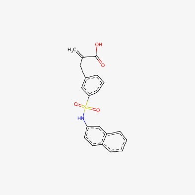 C=C(Cc1cccc(S(=O)(=O)Nc2ccc3ccccc3c2)c1)C(=O)O